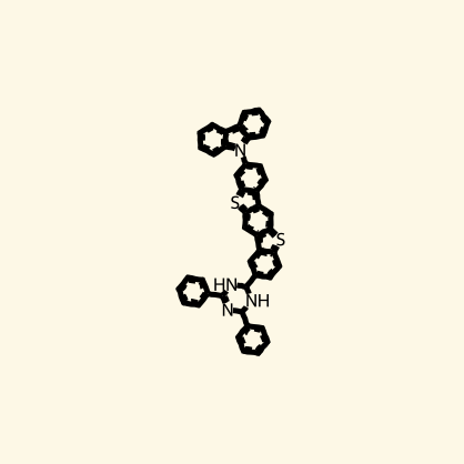 c1ccc(C2=NC(c3ccccc3)NC(c3ccc4sc5cc6c(cc5c4c3)sc3cc(-n4c5ccccc5c5ccccc54)ccc36)N2)cc1